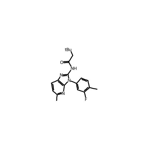 Cc1ccc2nc(NC(=O)CC(C)(C)C)n(-c3ccc(C)c(F)c3)c2n1